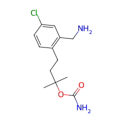 CC(C)(CCc1ccc(Cl)cc1CN)OC(N)=O